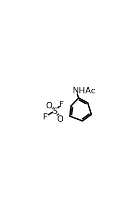 CC(=O)Nc1ccccc1.O=S(=O)(F)F